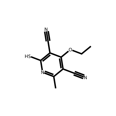 CCOc1c(C#N)c(C)nc(S)c1C#N